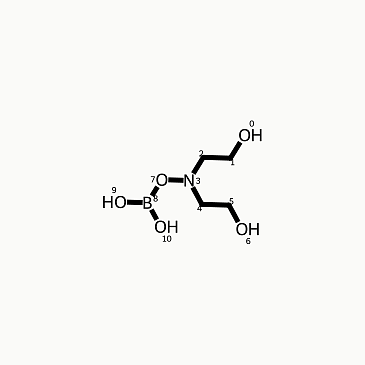 OCCN(CCO)OB(O)O